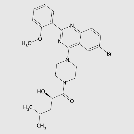 COc1ccccc1-c1nc(N2CCN(C(=O)[C@H](O)CC(C)C)CC2)c2cc(Br)ccc2n1